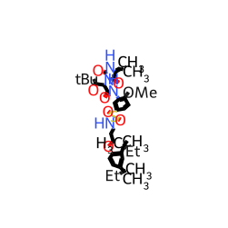 CCC(C)(C)c1ccc(OCCCNS(=O)(=O)c2ccc(OC)c(NC(=O)C(C(=O)C(C)(C)C)N3C(=O)NC(=C(C)C)C3=O)c2)c(C(C)(C)CC)c1